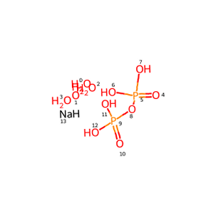 O.O.O.O.O=P(O)(O)OP(=O)(O)O.[NaH]